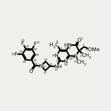 COCC1(C)C(=O)Nc2c(C)nc(NC3CN(C(=O)c4cc(F)c(F)c(F)c4)C3)nc2N1C